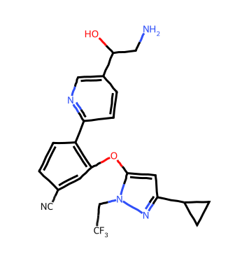 N#Cc1ccc(-c2ccc(C(O)CN)cn2)c(Oc2cc(C3CC3)nn2CC(F)(F)F)c1